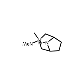 CN[N+]1(C)CC2CCC(C1)N2C(C)C